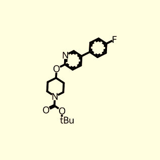 CC(C)(C)OC(=O)N1CCC(Oc2ccc(-c3ccc(F)cc3)cn2)CC1